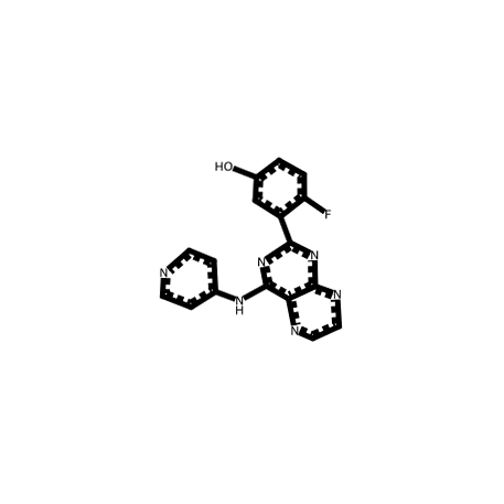 Oc1ccc(F)c(-c2nc(Nc3ccncc3)c3nccnc3n2)c1